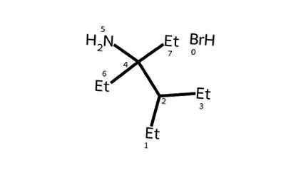 Br.CCC(CC)C(N)(CC)CC